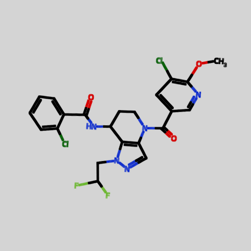 COc1ncc(C(=O)N2CCC(NC(=O)c3ccccc3Cl)c3c2cnn3CC(F)F)cc1Cl